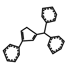 C1=C(c2ccccc2)C=C(C(c2ccccc2)c2ccccc2)C1